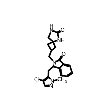 Cn1ncc(Cl)c1CC1c2ccccc2C(=O)N1CC1CC2(CNC(=O)N2)C1